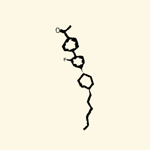 CCCCCC[C@H]1CC[C@H](c2ccc(-c3ccc(C(C)=O)cc3)c(F)c2)CC1